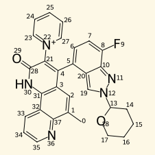 Cc1cc2c(-c3ccc(F)c4nn(C5CCCCO5)cc34)c(-[n+]3ccccc3)c(=O)[nH]c2c2cccnc12